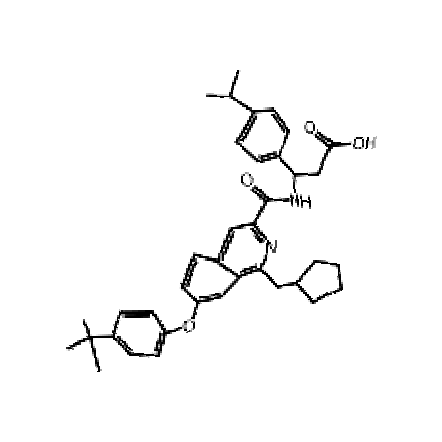 CC(C)c1ccc(C(CC(=O)O)NC(=O)c2cc3ccc(Oc4ccc(C(C)(C)C)cc4)cc3c(CC3CCCC3)n2)cc1